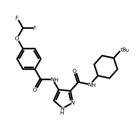 CC(C)(C)C1CCC(NC(=O)c2n[nH]cc2NC(=O)c2ccc(OC(F)F)cc2)CC1